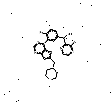 OC(c1ccc(F)c(-c2ncnc3cc(CC4CCOCC4)sc23)c1)c1nccnc1Cl